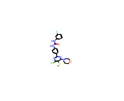 CSc1c(Cl)nc(-c2ccc(NC(=O)Nc3cccc(F)c3)cc2)nc1N1CCOCC1